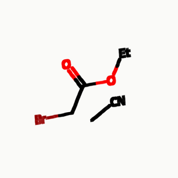 CC#N.CCOC(=O)CBr